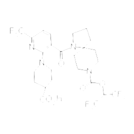 O=C(O)C1CCN(c2nc(C(F)(F)F)ccc2C(=O)N2CCCC23CCN(C(=O)OC(C(F)(F)F)C(F)(F)F)CC3)CC1